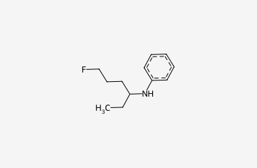 CCC(CCCF)Nc1ccccc1